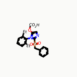 CCc1cccc(CC)c1-n1c(OC(=O)O)cnc1S(=O)(=O)Cc1ccccc1